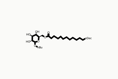 CCCCCCCCCCCCCCCCCCCCCC(=O)OC[C@H]1OC(OCCCC)[C@H](O)[C@@H](O)[C@@H]1O